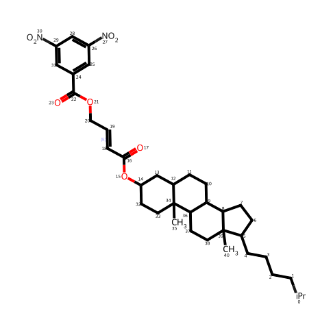 CC(C)CCCCC1CCC2C3CCC4CC(OC(=O)/C=C/COC(=O)c5cc([N+](=O)[O-])cc([N+](=O)[O-])c5)CCC4(C)C3CCC12C